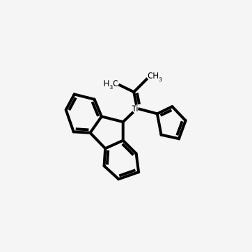 C[C](C)=[Ti]([C]1=CC=CC1)[CH]1c2ccccc2-c2ccccc21